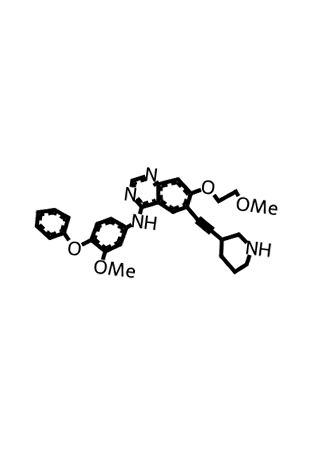 COCCOc1cc2ncnc(Nc3ccc(Oc4ccccc4)c(OC)c3)c2cc1C#CC1CCCNC1